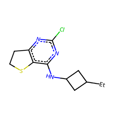 CCC1CC(Nc2nc(Cl)nc3c2SCC3)C1